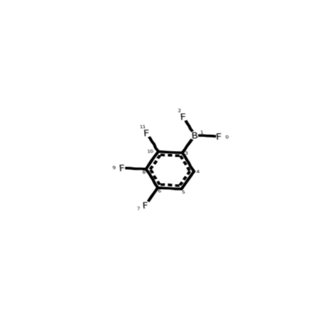 FB(F)c1ccc(F)c(F)c1F